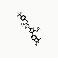 COCc1nc(NC[C@@H](N)Cc2ccc(C(F)(F)F)cc2)sc1-c1ccc2[nH]nc(C)c2c1